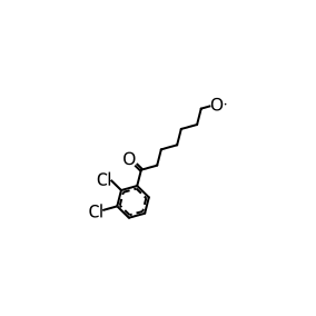 [O]CCCCCCC(=O)c1cccc(Cl)c1Cl